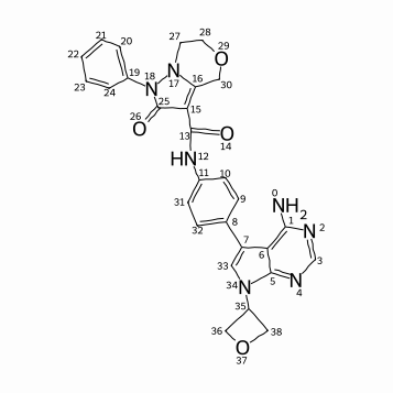 Nc1ncnc2c1c(-c1ccc(NC(=O)c3c4n(n(-c5ccccc5)c3=O)CCOC4)cc1)cn2C1COC1